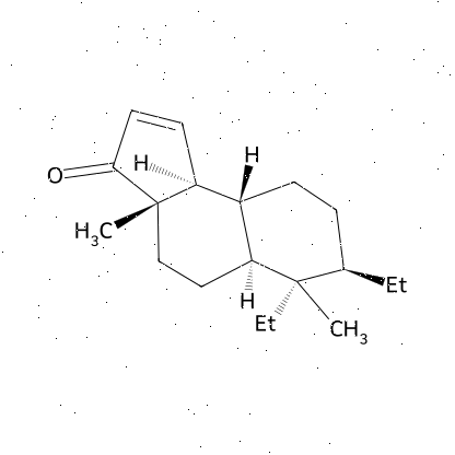 CC[C@@H]1CC[C@@H]2[C@H](CC[C@]3(C)C(=O)C=C[C@@H]23)[C@@]1(C)CC